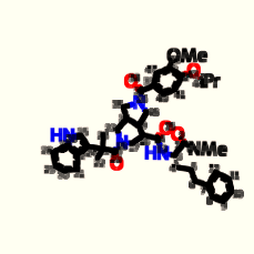 CNC(=O)[C@H](CCCc1ccccc1)NC(=O)C1CN(C(=O)C(C)(C)c2c[nH]c3ccccc23)CC2CN(C(=O)c3ccc(OC(C)C)c(OC)c3)CC21